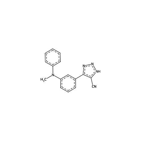 CN(c1ccccc1)c1cccc(-c2nn[nH]c2C#N)c1